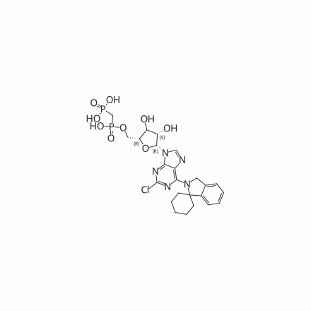 O=P(O)(O)CP(=O)(O)OC[C@H]1O[C@@H](n2cnc3c(N4Cc5ccccc5C45CCCCC5)nc(Cl)nc32)[C@@H](O)C1O